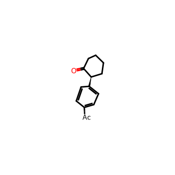 CC(=O)c1ccc([C@@H]2CCCCC2=O)cc1